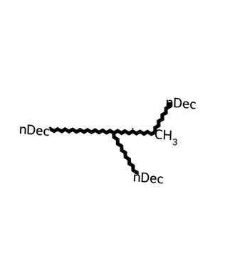 CCCCCCCCCCCCCCCCCCCCCCCCCCCC(CCCC[CH]CCCCCC(C)CCCCCCCCCCCCCCCCCC)CCCCCCCCCCCCCCCCCCCCCC